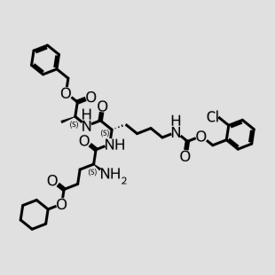 C[C@H](NC(=O)[C@H](CCCCNC(=O)OCc1ccccc1Cl)NC(=O)[C@@H](N)CCC(=O)OC1CCCCC1)C(=O)OCc1ccccc1